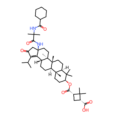 CC(C)C1=C2[C@H]3CC[C@@H]4[C@@]5(C)CC[C@H](OC(=O)[C@H]6C[C@@H](C(=O)O)C6(C)C)C(C)(C)[C@@H]5CC[C@@]4(C)[C@]3(C)CC[C@@]2(NC(=O)C(C)(C)NC(=O)C2CCCCC2)CC1=O